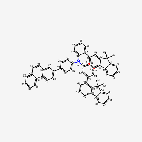 CC1(C)c2ccccc2-c2ccc(-c3ccccc3N(c3ccc(-c4ccc5c(ccc6ccccc65)c4)cc3)c3cccc(-c4cccc5c4C(C)(C)c4ccccc4-5)c3)cc21